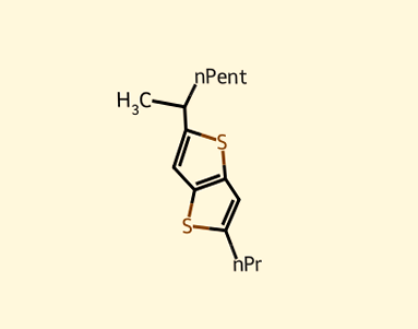 CC[CH]CCC(C)c1cc2sc(CCC)cc2s1